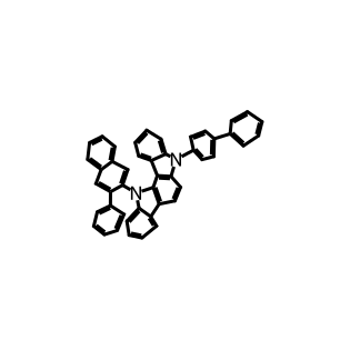 c1ccc(-c2ccc(-n3c4ccccc4c4c3ccc3c5ccccc5n(-c5cc6ccccc6cc5-c5ccccc5)c34)cc2)cc1